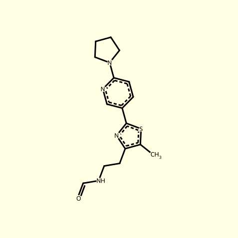 Cc1sc(-c2ccc(N3CCCC3)nc2)nc1CCNC=O